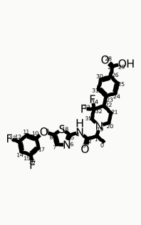 CC(C(=O)Nc1ncc(Oc2cc(F)cc(F)c2)s1)N1CCC(c2ccc(C(=O)O)cc2)C(F)(F)C1